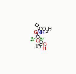 CC(C)c1cc(Oc2c(Br)cc(C(=O)NC(Cc3ccccc3)C(=O)O)cc2Br)ccc1O